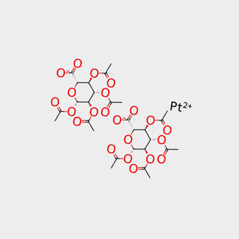 CC(=O)O[C@@H]1O[C@H](C(=O)[O-])[C@@H](OC(C)=O)[C@H](OC(C)=O)[C@H]1OC(C)=O.CC(=O)O[C@@H]1O[C@H](C(=O)[O-])[C@@H](OC(C)=O)[C@H](OC(C)=O)[C@H]1OC(C)=O.[Pt+2]